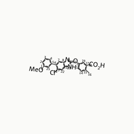 COc1cccc(-c2cc3nc(Oc4ccc(C)c(C(=O)O)c4)[nH]c3cc2Cl)c1